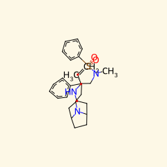 C=CCNC1CC2CCC(C1)N2CC[C@](C)(CN(C)S(=O)(=O)c1ccccc1)c1ccccc1